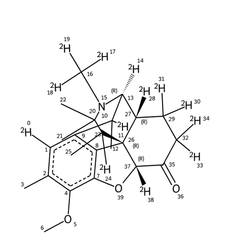 [2H]c1c(C)c(OC)c2c3c1C([2H])(C)[C@@]1([2H])N(C([2H])([2H])[2H])C(C)(C)C([2H])(C)[C@]34[C@@]1([2H])C([2H])([2H])C([2H])([2H])C(=O)[C@]4([2H])O2